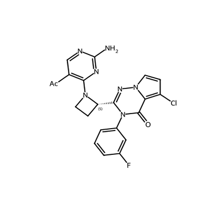 CC(=O)c1cnc(N)nc1N1CC[C@H]1c1nn2ccc(Cl)c2c(=O)n1-c1cccc(F)c1